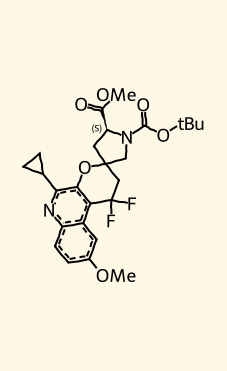 COC(=O)[C@@H]1CC2(CN1C(=O)OC(C)(C)C)CC(F)(F)c1c(c(C3CC3)nc3ccc(OC)cc13)O2